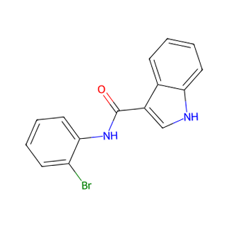 O=C(Nc1ccccc1Br)c1c[nH]c2ccccc12